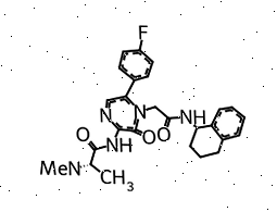 CN[C@@H](C)C(=O)Nc1ncc(-c2ccc(F)cc2)n(CC(=O)N[C@@H]2CCCc3ccccc32)c1=O